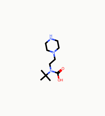 CC(C)(C)N(CCN1CCNCC1)C(=O)O